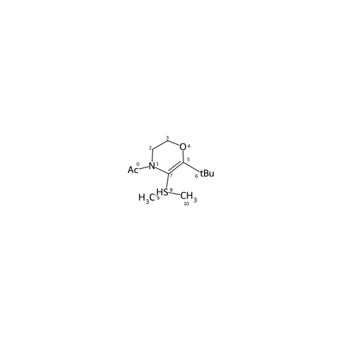 CC(=O)N1CCOC(C(C)(C)C)=C1[SH](C)C